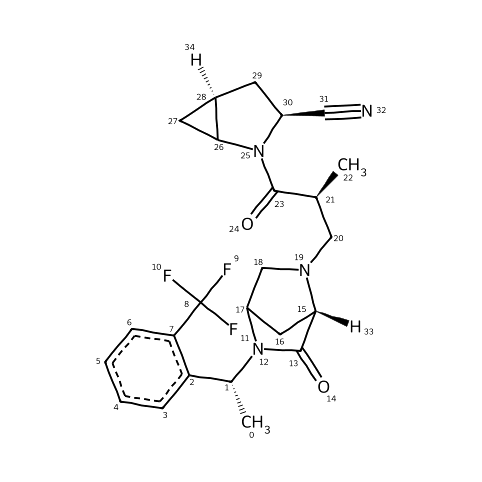 C[C@H](c1ccccc1C(F)(F)F)N1C(=O)[C@@H]2CC1CN2C[C@H](C)C(=O)N1C2C[C@H]2C[C@H]1C#N